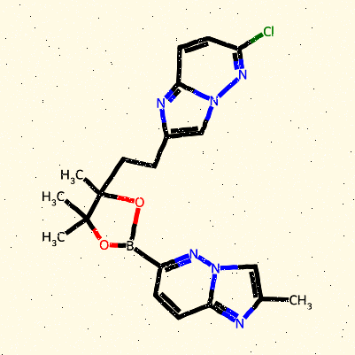 Cc1cn2nc(B3OC(C)(C)C(C)(CCc4cn5nc(Cl)ccc5n4)O3)ccc2n1